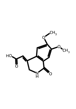 COc1cc2c(cc1OC)C(=CC(=O)O)CNC2=O